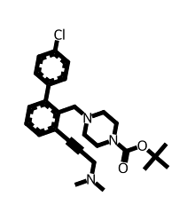 CN(C)CC#Cc1cccc(-c2ccc(Cl)cc2)c1CN1CCN(C(=O)OC(C)(C)C)CC1